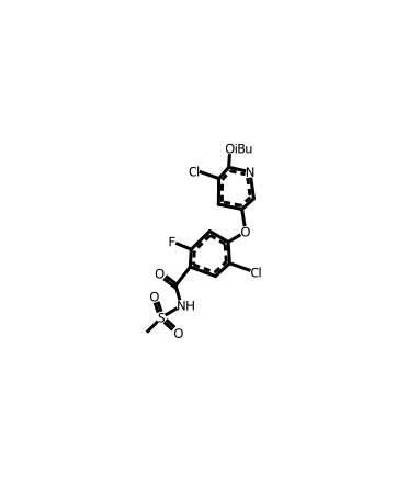 CC(C)COc1ncc(Oc2cc(F)c(C(=O)NS(C)(=O)=O)cc2Cl)cc1Cl